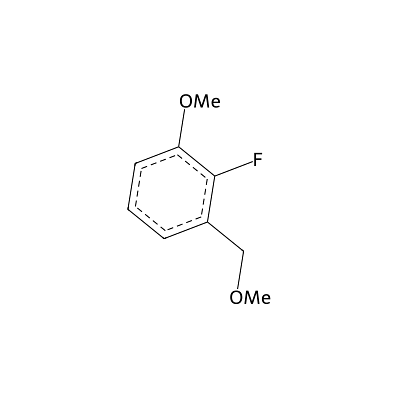 COCc1cccc(OC)c1F